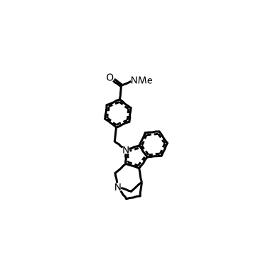 CNC(=O)c1ccc(Cn2c3c(c4ccccc42)C2CCN(C3)C2)cc1